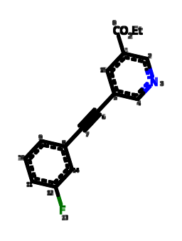 CCOC(=O)c1cncc(C#Cc2cccc(F)c2)c1